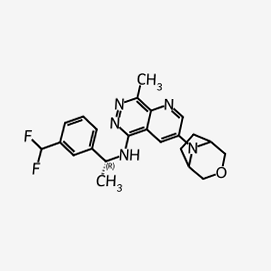 Cc1nnc(N[C@H](C)c2cccc(C(F)F)c2)c2cc(N3C4CCC3COC4)cnc12